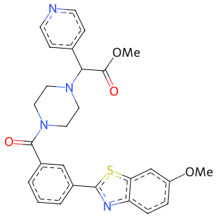 COC(=O)C(c1ccncc1)N1CCN(C(=O)c2cccc(-c3nc4ccc(OC)cc4s3)c2)CC1